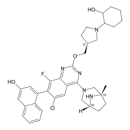 C[C@]12CC[C@H](CN(c3nc(OC[C@H]4CCN(C5CCCCC5O)C4)nc4c(F)c(-c5cc(O)cc6ccccc56)c(Cl)cc34)C1)N2